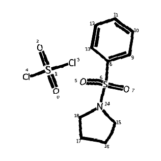 O=S(=O)(Cl)Cl.O=S(=O)(c1ccccc1)N1CCCC1